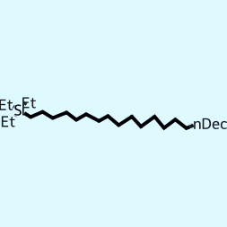 [CH2]CCCCCCCCCCCCCCCCCCCCCCCC[Si](CC)(CC)CC